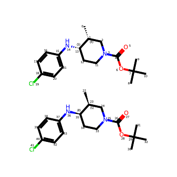 C[C@@H]1CN(C(=O)OC(C)(C)C)CC[C@@H]1Nc1ccc(Cl)cc1.C[C@H]1CN(C(=O)OC(C)(C)C)CC[C@H]1Nc1ccc(Cl)cc1